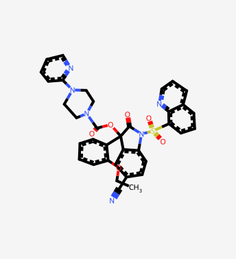 CCOc1ccccc1C1(OC(=O)N2CCN(c3ccccn3)CC2)C(=O)N(S(=O)(=O)c2cccc3cccnc23)c2ccc(C#N)cc21